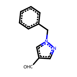 O=Cc1cnn(Cc2ccccc2)c1